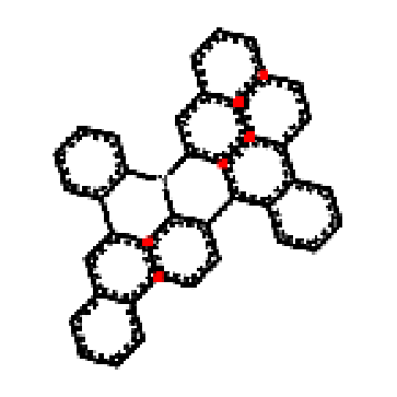 c1ccc(N(c2ccc3ccccc3c2)c2ccccc2-c2cc3ccccc3c3ccccc23)c(-c2ccc3ccccc3c2)c1